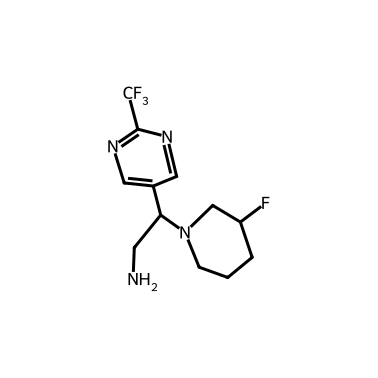 NCC(c1cnc(C(F)(F)F)nc1)N1CCCC(F)C1